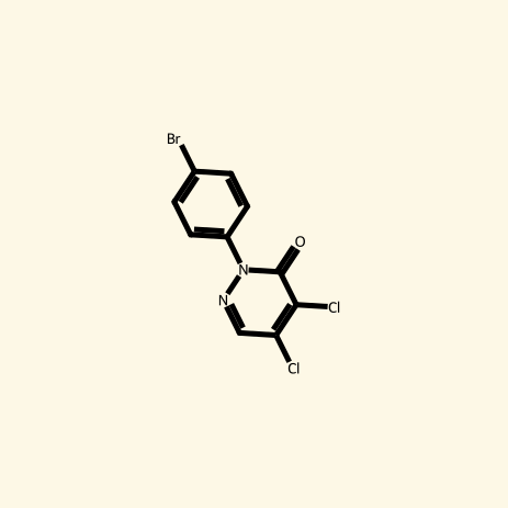 O=c1c(Cl)c(Cl)cnn1-c1ccc(Br)cc1